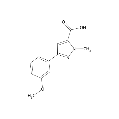 COc1cccc(-c2cc(C(=O)O)n(C)n2)c1